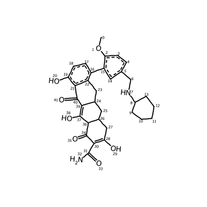 COc1ccc(CNC2CCCCC2)cc1-c1ccc(O)c2c1CC1CC3CC(O)=C(C(N)=O)C(=O)C3C(O)=C1C2=O